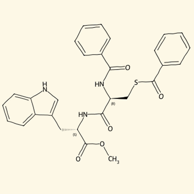 COC(=O)[C@H](Cc1c[nH]c2ccccc12)NC(=O)[C@H](CSC(=O)c1ccccc1)NC(=O)c1ccccc1